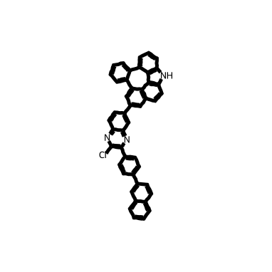 Clc1nc2ccc(-c3cc4c5c(ccc6[nH]c7cccc(c7c65)-c5ccccc5-4)c3)cc2nc1-c1ccc(-c2ccc3ccccc3c2)cc1